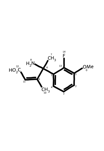 COc1cccc(C(C)(N)/C(C)=C\C(=O)O)c1F